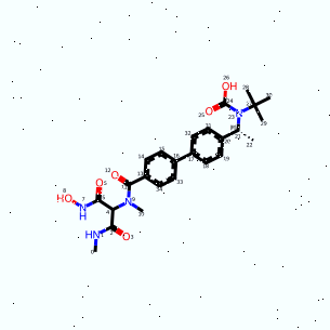 CNC(=O)C(C(=O)NO)N(C)C(=O)c1ccc(-c2ccc([C@@H](C)N(C(=O)O)C(C)(C)C)cc2)cc1